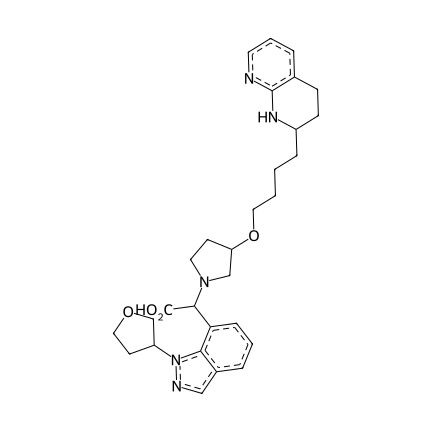 O=C(O)C(c1cccc2cnn(C3CCOC3)c12)N1CCC(OCCCCC2CCc3cccnc3N2)C1